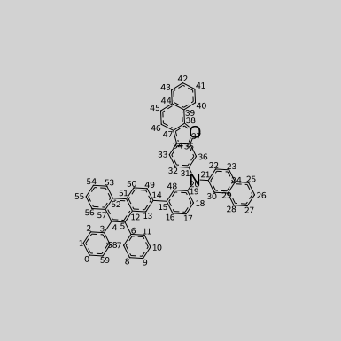 c1ccc(-c2c(-c3ccccc3)c3cc(-c4cccc(N(c5ccc6ccccc6c5)c5ccc6c(c5)oc5c7ccccc7ccc65)c4)ccc3c3ccccc23)cc1